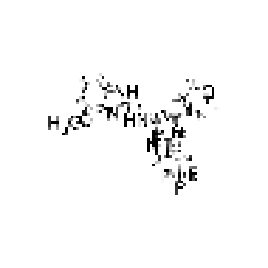 COc1cccc2[nH]c(CNc3nc(N4CCOCC4)nc4c(CC(F)(F)F)cnn34)nc12